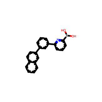 OB(O)c1cccc(-c2cccc(-c3ccc4ccccc4c3)c2)n1